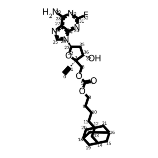 C#C[C@]1(COC(=O)OCCCCC23CC4CC(CC(C4)C2)C3)O[C@@H](n2cnc3c(N)nc(F)nc32)C[C@@H]1O